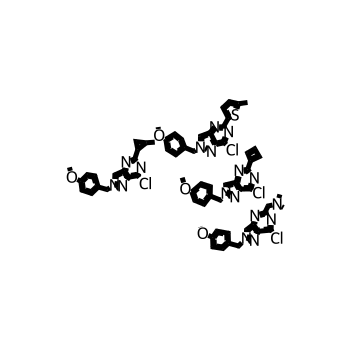 COc1ccc(Cn2cc3nc(-c4ccc(C)s4)nc(Cl)c3n2)cc1.COc1ccc(Cn2cc3nc(C4=CC=C4)nc(Cl)c3n2)cc1.COc1ccc(Cn2cc3nc(C4CC4C)nc(Cl)c3n2)cc1.COc1ccc(Cn2cc3nc(CN(C)C)nc(Cl)c3n2)cc1